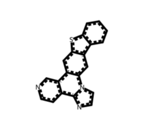 c1ccc2c(c1)sc1cc3c4cnccc4c4nccn4c3cc12